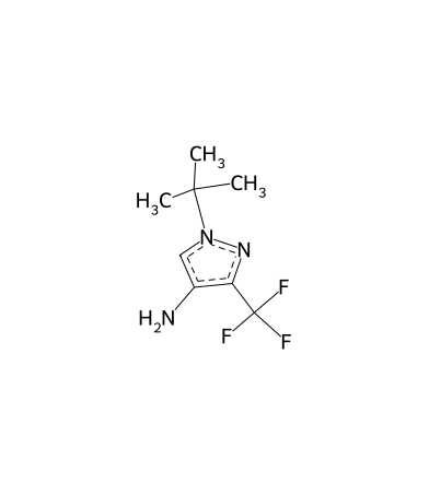 CC(C)(C)n1cc(N)c(C(F)(F)F)n1